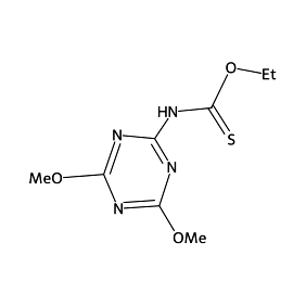 CCOC(=S)Nc1nc(OC)nc(OC)n1